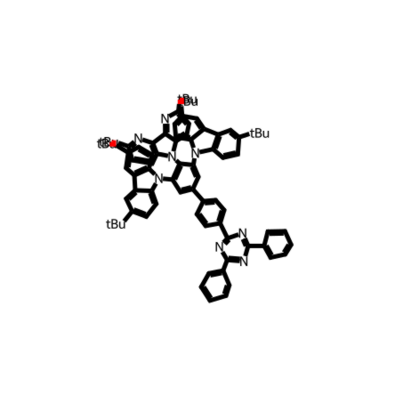 CC(C)(C)c1ccc2c(c1)c1cc(C(C)(C)C)ccc1n2-c1cc(-c2ccc(-c3nc(-c4ccccc4)nc(-c4ccccc4)n3)cc2)cc(-n2c3ccc(C(C)(C)C)cc3c3cc(C(C)(C)C)ccc32)c1-n1c2ccc(C(C)(C)C)nc2c2nc(C(C)(C)C)ccc21